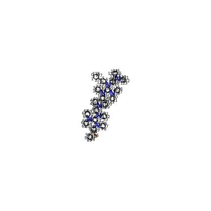 c1ccc(-c2ccc(N(c3cc(N(c4ccccc4)c4ccccc4)cc(N(c4ccccc4)c4cccc(-c5cccc6c7ccc(N(c8ccccc8)c8cc(N(c9ccccc9)c9ccccc9)cc(N(c9ccccc9)c9ccc%10c(c9)sc9ccccc9%10)c8)cc7n(-c7ccccc7)c56)c4)c3)c3ccc4c(c3)c3ccccc3n4-c3ccccc3)cc2)cc1